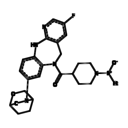 CC[S+]([O-])N1CCC(C(=O)N2Cc3cc(F)cnc3Nc3ccc(N4CC5CCC4CO5)cc32)CC1